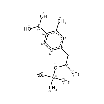 Cc1cc(CC(C)O[Si](C)(C)C(C)(C)C)ncc1B(O)O